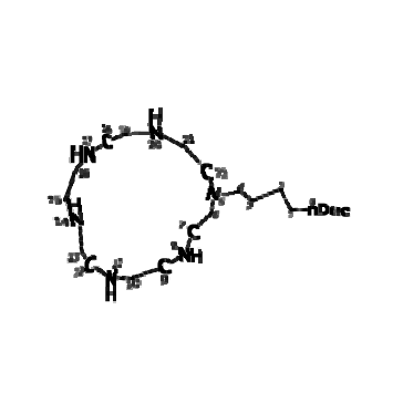 CCCCCCCCCCCCCCN1CCNCCNCCNCCNCCNCC1